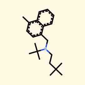 Cc1ccc(CN(CCC(C)(C)C)C(C)(C)C)c2ccccc12